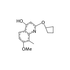 COc1ccc2c(O)cc(OC3CCC3)nc2c1C